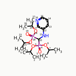 CC(C)OP(=O)(OC(C)C)C(Nc1cccnc1)P(=O)(OC(C)C)OC(C)C